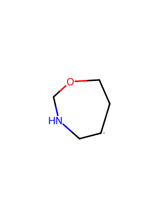 [CH]1CCOCNC1